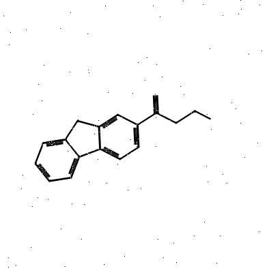 O=C(O)CCC(=O)c1ccc2c(c1)Cc1ccccc1-2